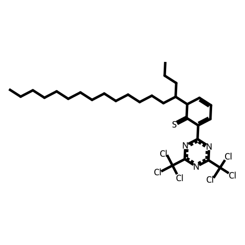 CCCCCCCCCCCCCCC(CCC)C1C=CC=C(c2nc(C(Cl)(Cl)Cl)nc(C(Cl)(Cl)Cl)n2)C1=S